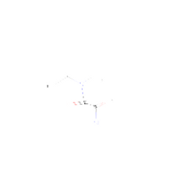 CC(C)CN(C)C(=O)C(N)=O